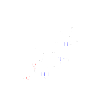 CCc1oc(=O)[nH]c1CN1CCN(C(C)(C)C)CC1